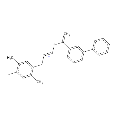 C=C(S/C=C/Cc1cc(C)c(I)cc1C)c1cccc(-c2ccccc2)c1